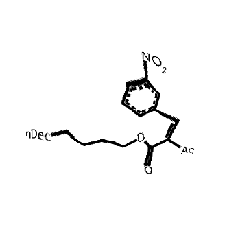 CCCCCCCCCCCCCCOC(=O)C(=Cc1cccc([N+](=O)[O-])c1)C(C)=O